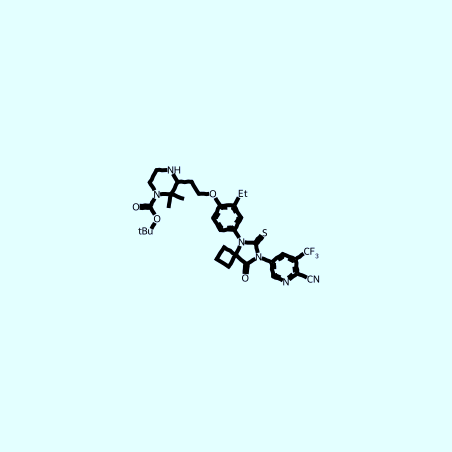 CCc1cc(N2C(=S)N(c3cnc(C#N)c(C(F)(F)F)c3)C(=O)C23CCC3)ccc1OCCC1NCCN(C(=O)OC(C)(C)C)C1(C)C